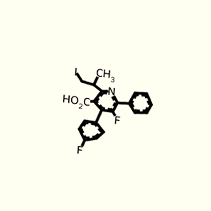 CC(CI)c1nc(-c2ccccc2)c(F)c(-c2ccc(F)cc2)c1C(=O)O